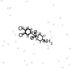 NC1CCN(S(=O)(=O)c2ccc(Cl)c(Cl)c2)CC1